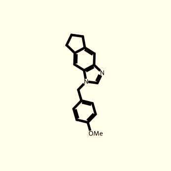 COc1ccc(Cn2cnc3cc4c(cc32)CCC4)cc1